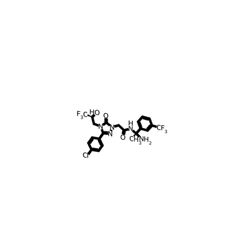 C[C@@](N)(NC(=O)Cn1nc(-c2ccc(Cl)cc2)n(C[C@H](O)C(F)(F)F)c1=O)c1cccc(C(F)(F)F)c1